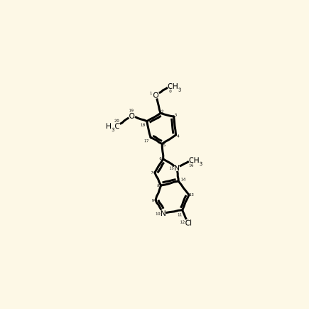 COc1ccc(-c2cc3cnc(Cl)cc3n2C)cc1OC